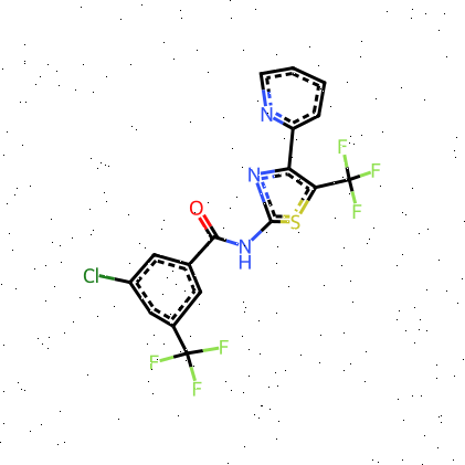 O=C(Nc1nc(-c2ccccn2)c(C(F)(F)F)s1)c1cc(Cl)cc(C(F)(F)F)c1